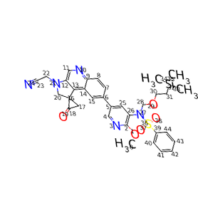 COc1ncc(-c2ccc3ncc4c(c3c2)C2(CC2=O)CN4CC#N)cc1N(COCC[Si](C)(C)C)S(=O)(=O)c1ccccc1